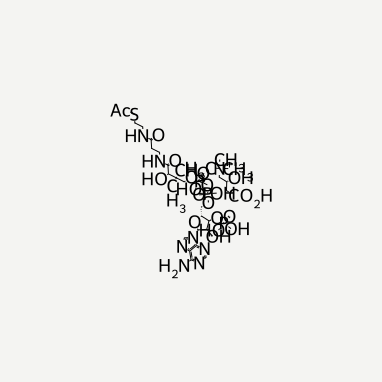 CC(=O)SCCNC(=O)CCNC(=O)C(O)C(C)(C)COP(=O)(O)OP(=O)(O)OC[C@H]1O[C@@H](n2cnc3c(N)ncnc32)[C@H](O)[C@@H]1OP(=O)(O)O.C[N+](C)(C)C[C@H](O)CC(=O)O